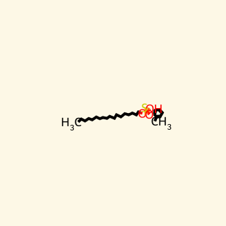 CCCCCCCCCCCCCCCCCCOP(O)(=S)Oc1ccccc1C